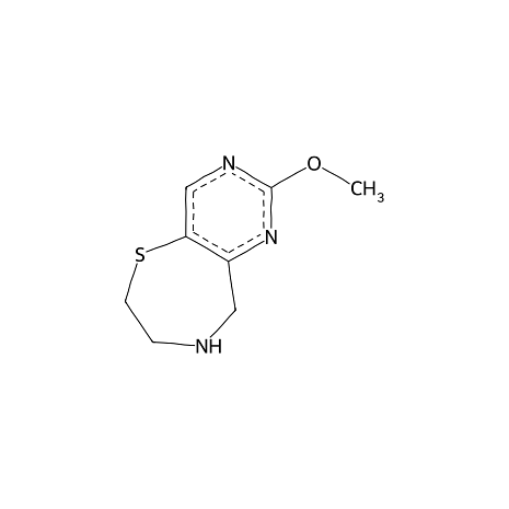 COc1ncc2c(n1)CNCCS2